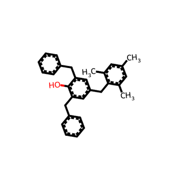 Cc1cc(C)c(Cc2cc(Cc3ccccc3)c(O)c(Cc3ccccc3)c2)c(C)c1